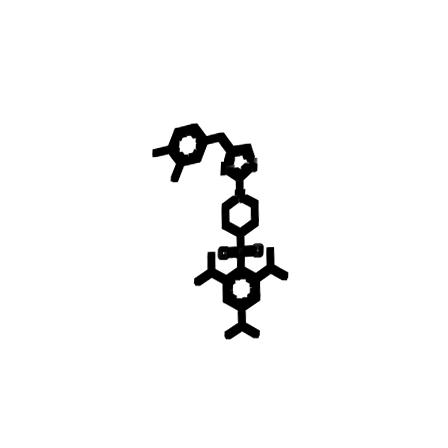 Cc1ccc(Cc2csc(N3CCC(S(=O)(=O)c4c(C(C)C)cc(C(C)C)cc4C(C)C)CC3)n2)cc1C